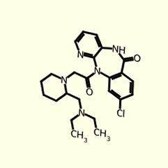 CCN(CC)CC1CCCCN1CC(=O)N1c2cc(Cl)ccc2C(=O)Nc2cccnc21